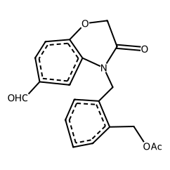 CC(=O)OCc1ccccc1CN1C(=O)COc2ccc(C=O)cc21